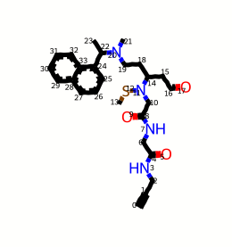 C#CCNC(=O)CNC(=O)CN(SC)C(CC=O)CCN(C)C(C)c1cccc2ccccc12